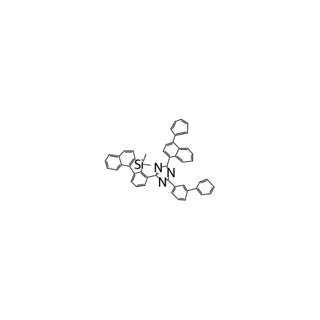 C[Si]1(C)c2ccc3ccccc3c2-c2cccc(-c3nc(-c4cccc(-c5ccccc5)c4)nc(-c4ccc(-c5ccccc5)c5ccccc45)n3)c21